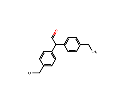 CCc1ccc(C(C=O)c2ccc(CC)cc2)cc1